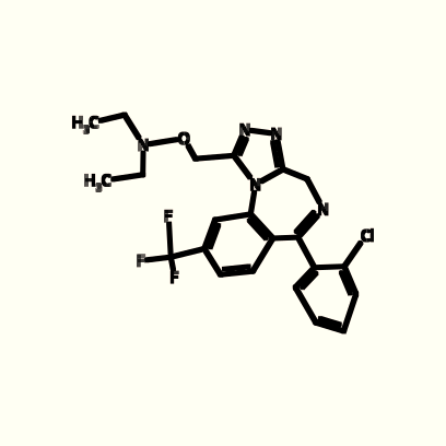 CCN(CC)OCc1nnc2n1-c1cc(C(F)(F)F)ccc1C(c1ccccc1Cl)=NC2